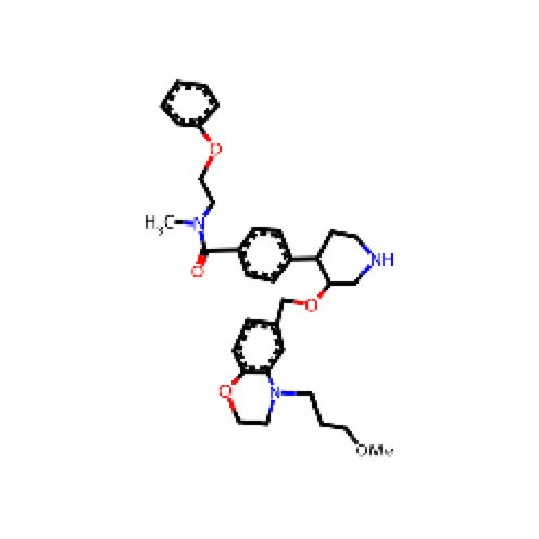 COCCCN1CCOc2ccc(COC3CNCCC3c3ccc(C(=O)N(C)CCOc4ccccc4)cc3)cc21